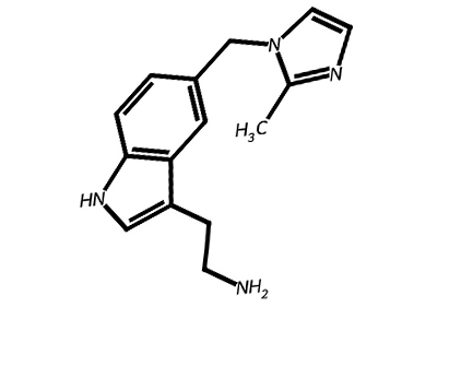 Cc1nccn1Cc1ccc2[nH]cc(CCN)c2c1